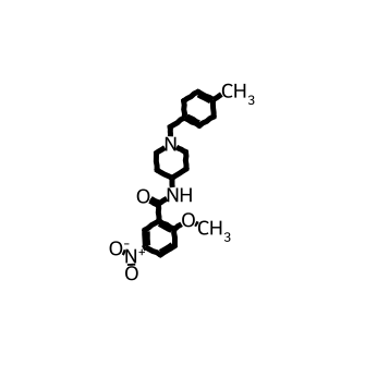 COc1ccc([N+](=O)[O-])cc1C(=O)NC1CCN(CC2=CCC(C)=CC2)CC1